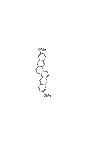 COc1ccc2cc3c(ccc4c5cc6ccc(OC)cc6cc5ccc34)cc2c1